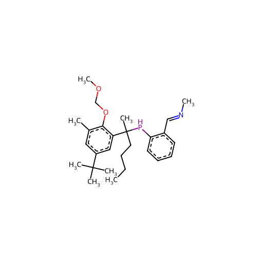 CCCCC(C)(Pc1ccccc1/C=N/C)c1cc(C(C)(C)C)cc(C)c1OCOC